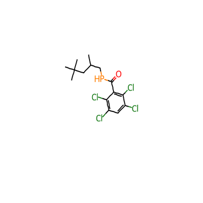 CC(CPC(=O)c1c(Cl)c(Cl)cc(Cl)c1Cl)CC(C)(C)C